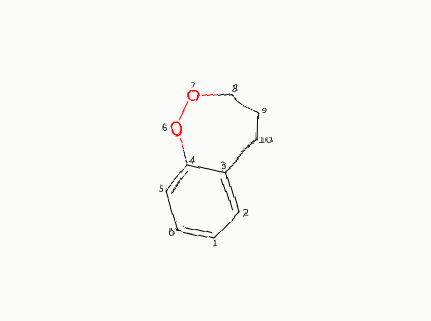 [c]1ccc2c(c1)OOCCC2